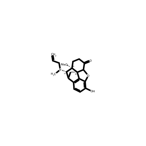 C=CCN(C)[C@H]1C2C[C@@]34c5c2ccc(O)c5OC3C(=O)CC[C@]14OC